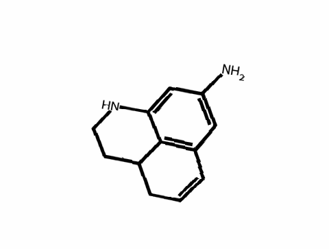 Nc1cc2c3c(c1)NCCC3CC=C2